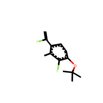 C=C(F)c1ccc(OC(C)(C)C)c(F)c1C